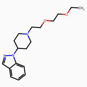 CCOCCOCCN1CCC(n2ncc3ccccc32)CC1